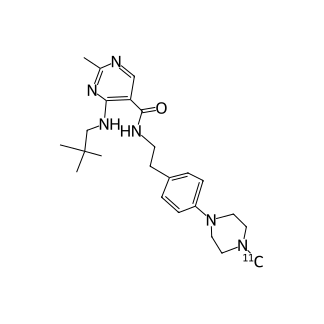 Cc1ncc(C(=O)NCCc2ccc(N3CCN([11CH3])CC3)cc2)c(NCC(C)(C)C)n1